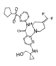 O=C(Nc1cccc(S(=O)(=O)C2CCCC2)c1)c1ccc(NC2(CO)CC2)nc1N1CCC(=C(F)F)CC1